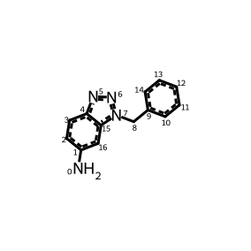 Nc1ccc2nnn(Cc3ccccc3)c2c1